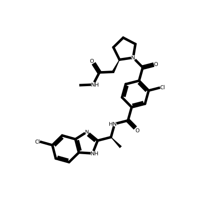 CNC(=O)C[C@H]1CCCN1C(=O)c1ccc(C(=O)N[C@@H](C)c2nc3cc(Cl)ccc3[nH]2)cc1Cl